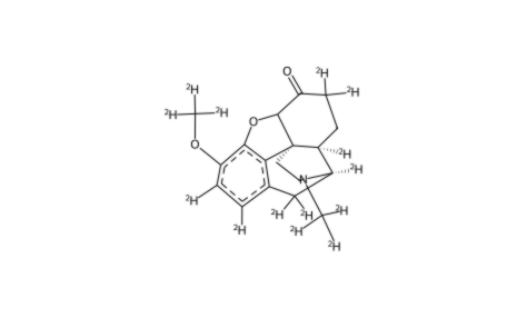 [2H]c1c([2H])c2c3c(c1OC([2H])([2H])[2H])OC1C(=O)C([2H])([2H])C[C@]4([2H])[C@@]31CCN(C([2H])([2H])[2H])[C@]4([2H])C2([2H])[2H]